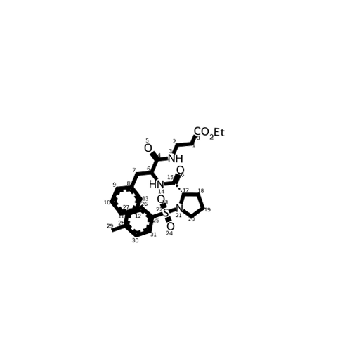 CCOC(=O)CCNC(=O)C(Cc1ccccc1)NC(=O)[C@@H]1CCCN1S(=O)(=O)c1ccc(C)cc1